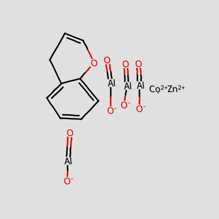 C1=COc2ccccc2C1.[Co+2].[O]=[Al][O-].[O]=[Al][O-].[O]=[Al][O-].[O]=[Al][O-].[Zn+2]